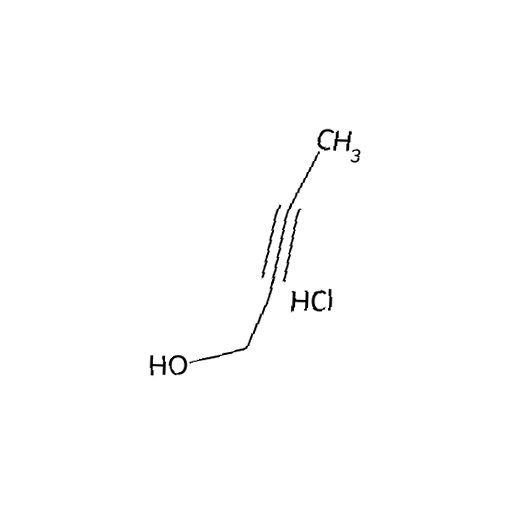 CC#CCO.Cl